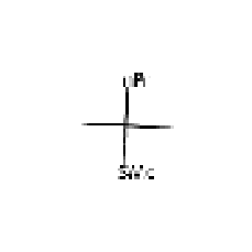 [CH2]CCC(C)(C)SC